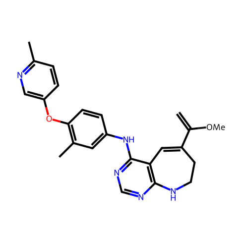 C=C(OC)C1=Cc2c(ncnc2Nc2ccc(Oc3ccc(C)nc3)c(C)c2)NCC1